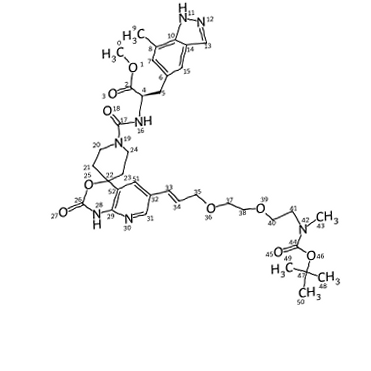 COC(=O)[C@@H](Cc1cc(C)c2[nH]ncc2c1)NC(=O)N1CCC2(CC1)OC(=O)Nc1ncc(/C=C/COCCOCCN(C)C(=O)OC(C)(C)C)cc12